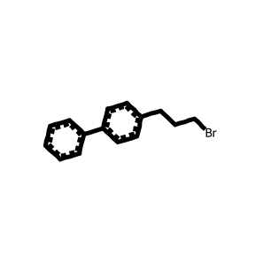 BrCCCc1ccc(-c2ccccc2)cc1